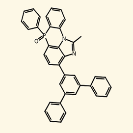 Cc1nc2c(-c3cc(-c4ccccc4)cc(-c4ccccc4)c3)ccc3c2n1-c1ccccc1P3(=O)c1ccccc1